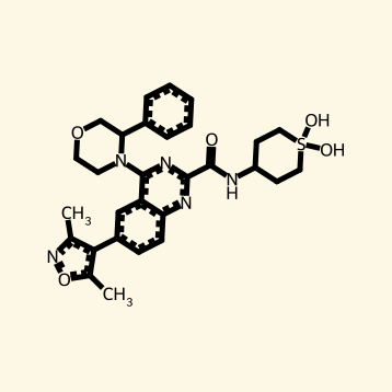 Cc1noc(C)c1-c1ccc2nc(C(=O)NC3CCS(O)(O)CC3)nc(N3CCOCC3c3ccccc3)c2c1